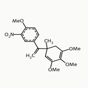 C=C(c1ccc(OC)c([N+](=O)[O-])c1)C1(C)C=C(OC)C(OC)=C(OC)C1